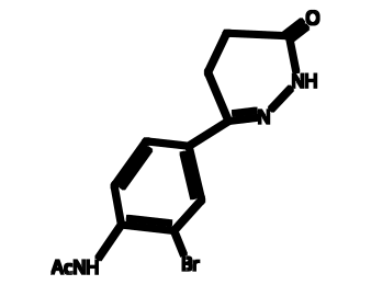 CC(=O)Nc1ccc(C2=NNC(=O)CC2)cc1Br